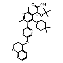 Cc1nc(C)c([C@H](OC(C)(C)C)C(=O)O)c(N2CCC(C)(C)CC2)c1-c1ccc(OC2CCOc3ccccc32)cc1